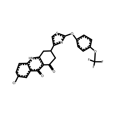 O=C1CC(c2csc(Oc3ccc(OC(F)(F)F)cc3)n2)Cc2[nH]c3ccc(Cl)cc3c(=O)c21